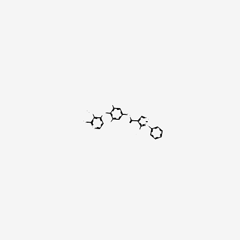 N#Cc1c(Oc2c(F)cc(NC(=O)c3cnn(-c4ccccc4)c3C(F)(F)F)cc2F)ccnc1N